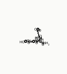 CC(C)[C@@H](NC(=O)CCCCCN1C(=O)C=CC1=O)C(=O)N[C@H](CCCNC(N)=O)C(=O)Nc1ccc(COC(=O)Oc2ccc(O)cc2)cc1